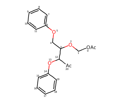 CC(=O)OCOC(COc1ccccc1)C(Oc1ccccc1)C(C)=O